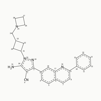 N#Cc1c(-c2ccc3ccc(-c4ccccc4)nc3c2)nn(C2CC(CN3CCC3)C2)c1N